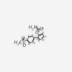 CS(=O)(=O)c1ccc(-c2ccccc2OC(N)=O)cc1